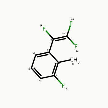 Cc1c(F)cccc1C(F)=C(F)F